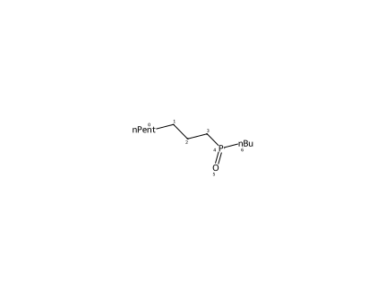 CCCCCCCC[P](=O)CCCC